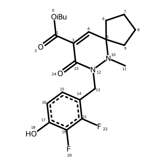 CC(C)COC(=O)C1=CC2(CCCC2)N(C)N(Cc2ccc(O)c(F)c2F)C1=O